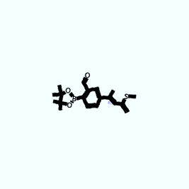 C=C(/C=C(\C)c1ccc(B2OC(C)(C)C(C)(C)O2)c(C=O)c1)SC